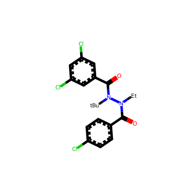 CCN(C(=O)c1ccc(Cl)cc1)N(C(=O)c1cc(Cl)cc(Cl)c1)C(C)(C)C